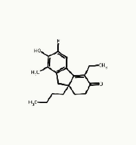 CCCCC12CCC(=O)C(CC)=C1c1cc(F)c(O)c(C)c1C2